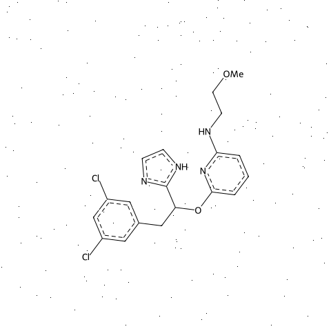 COCCNc1cccc(OC(Cc2cc(Cl)cc(Cl)c2)c2ncc[nH]2)n1